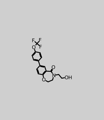 O=C1c2cc(-c3ccc(OC(F)(F)F)cc3)ccc2OCCN1CCO